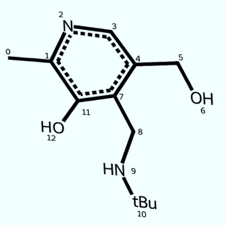 Cc1ncc(CO)c(CNC(C)(C)C)c1O